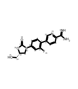 N=C(N)c1ccc(-c2ccc(N3C[C@H](CO)OC3=O)cc2F)cn1